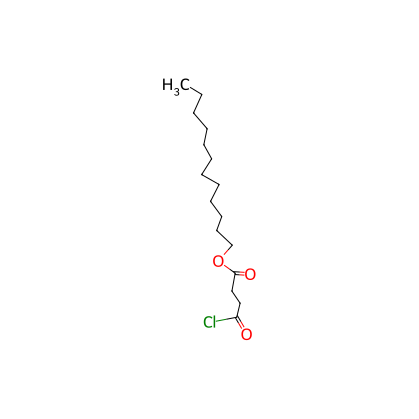 CCCCCCCCCCCCOC(=O)CCC(=O)Cl